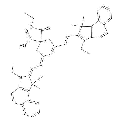 CCOC(=O)C1(C(=O)O)CC(/C=C/C2=[N+](CC)c3ccc4ccccc4c3C2(C)C)=CC(=C/C=C2/N(CC)c3ccc4ccccc4c3C2(C)C)/C1